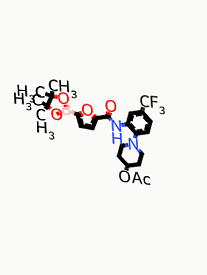 CC(=O)OC1CCN(c2ccc(C(F)(F)F)cc2NC(=O)c2ccc(B3OC(C)(C)C(C)(C)O3)o2)CC1